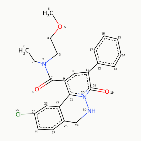 CCN(CCOC)C(=O)c1cc(-c2ccccc2)c(=O)n2c1-c1cc(Cl)ccc1CN2